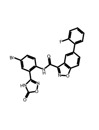 O=C(Nc1ccc(Br)cc1-c1noc(=O)[nH]1)c1noc2ccc(-c3ccccc3F)cc12